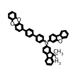 CC1(C)c2ccccc2-c2ccc(N(c3ccc(-c4ccc(-c5ccc6c(c5)Oc5ccccc5O6)cc4)cc3)c3ccc4c(c3)oc3ccccc34)cc21